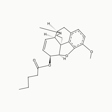 CCCCC(=O)O[C@H]1C=C[C@H]2[C@H]3Cc4ccc(OC)c5c4[C@@]2(CCN3C)[C@H]1O5